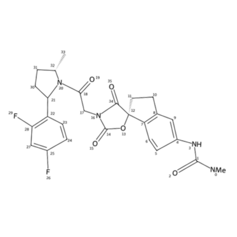 CNC(=O)Nc1ccc2c(c1)CC[C@@]21OC(=O)N(CC(=O)N2C(c3ccc(F)cc3F)CC[C@@H]2C)C1=O